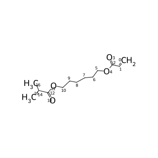 C=CC(=O)OCCCCCCOC(=O)C(C)C